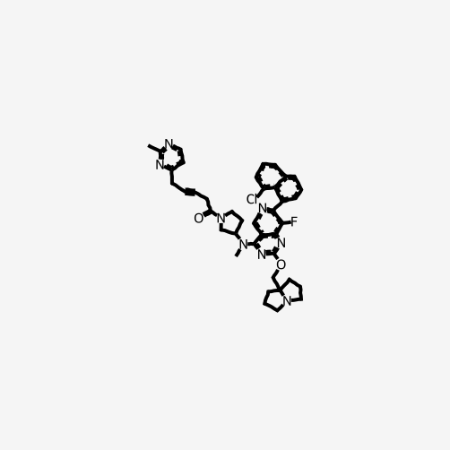 Cc1nccc(CC#CCC(=O)N2CCC(N(C)c3nc(OCC45CCCN4CCC5)nc4c(F)c(-c5cccc6cccc(Cl)c56)ncc34)C2)n1